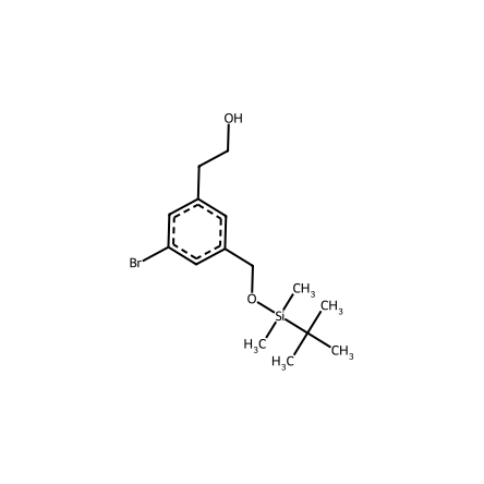 CC(C)(C)[Si](C)(C)OCc1cc(Br)cc(CCO)c1